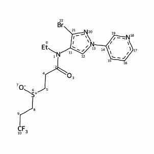 CCN(C(=O)CC[S+]([O-])CCC(F)(F)F)c1cn(-c2cccnc2)nc1Br